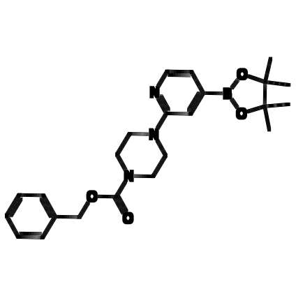 CC1(C)OB(c2ccnc(N3CCN(C(=O)OCc4ccccc4)CC3)c2)OC1(C)C